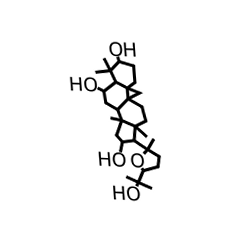 CC(C)(O)C1CCC(C)(C2C(O)CC3(C)C4CC(O)C5C(C)(C)C(O)CCC56CC46CCC23C)O1